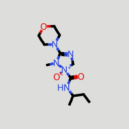 CCC(C)NC(=O)[N+]1([O-])CN=C(N2CCOCC2)N1C